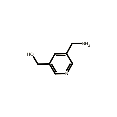 BCc1cncc(CO)c1